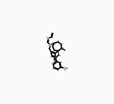 C=C/N=C\N1CC2=C(C#N)[C@@]3(CCC1CCC3C)CC(c1cccc(O)c1)=C2